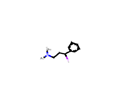 CC(=O)N(CCC(I)c1ccccc1)C(C)(C)C